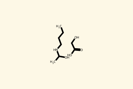 CCCCNC(C)O.O=C(O)CO